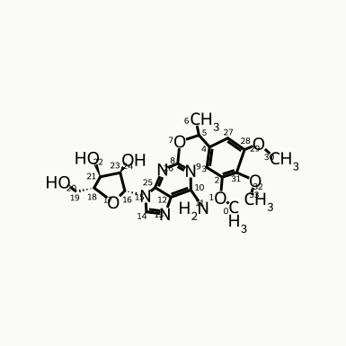 COc1cc(C(C)Oc2nc(N)c3ncn([C@@H]4O[C@H](CO)[C@@H](O)[C@H]4O)c3n2)cc(OC)c1OC